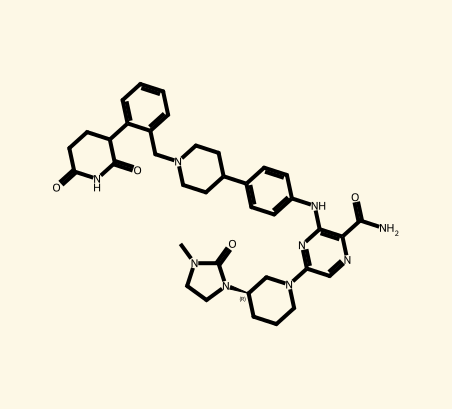 CN1CCN([C@@H]2CCCN(c3cnc(C(N)=O)c(Nc4ccc(C5CCN(Cc6ccccc6C6CCC(=O)NC6=O)CC5)cc4)n3)C2)C1=O